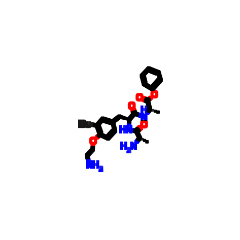 CCC(C)c1cc(C[C@H](NC(=O)[C@H](C)N)C(=O)N[C@@H](C)C(=O)Oc2ccccc2)ccc1OCCN